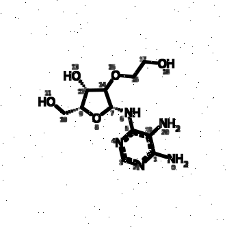 Nc1ncnc(N[C@@H]2O[C@H](CO)[C@H](O)C2OCCO)c1N